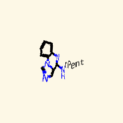 CCCCCNc1nc2ccccc2n2cncc12